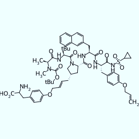 C=CCOc1ccc(C[C@H](NC(=O)[C@H](Cc2ccc3ccccc3c2)NC(=O)[C@@H]2C[C@H](CC=CCOc3ccc(CC(N)C(=O)O)cc3)CN2C(=O)[C@@H](NC(=O)[C@H](C)N(C)C(=O)OC(C)(C)C)C(C)(C)C)C(=O)NS(=O)(=O)C2CC2)cc1